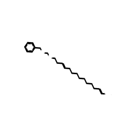 CCCCC=CCCCCCCCCC=CCCOCOCc1ccccc1